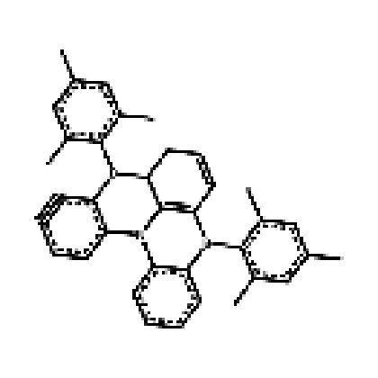 Cc1cc(C)c(B2C3=C4C(CC=C3)B(c3c(C)cc(C)cc3C)c3c#cccc3N4c3ccccc32)c(C)c1